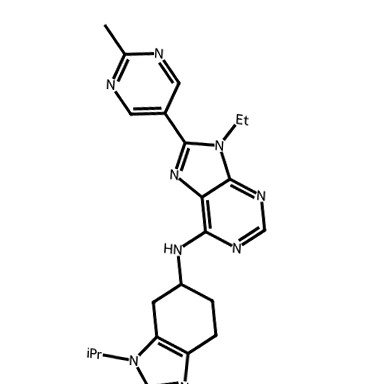 CCn1c(-c2cnc(C)nc2)nc2c(NC3CCc4ncn(C(C)C)c4C3)ncnc21